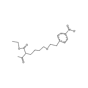 CCOC(=O)C(CCCCOCCc1ccc([N+](=O)[O-])cc1)C(C)=O